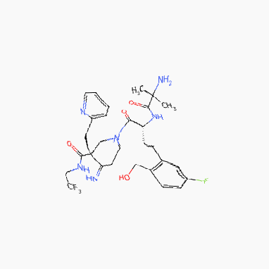 CC(C)(N)C(=O)N[C@H](CCc1cc(F)ccc1CO)C(=O)N1CCC(=N)[C@](Cc2ccccn2)(C(=O)NCC(F)(F)F)C1